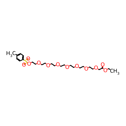 CCOC(=O)COCCOCCOCCOCCOCCOCCOCCOS(=O)(=O)c1ccc(C)cc1